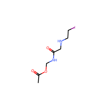 CC(=O)OCNC(=O)CNCCI